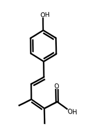 CC(C=Cc1ccc(O)cc1)=C(C)C(=O)O